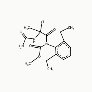 CCc1cccc(CC)c1N(C(=O)OC)C(=O)C(C)(Cl)NC(N)=O